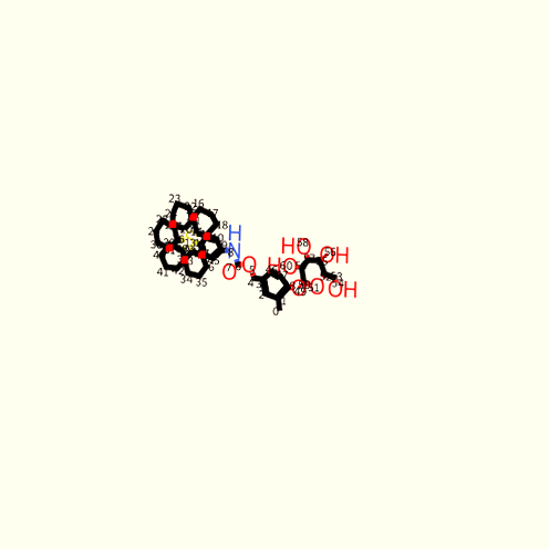 Cc1cc(COC(=O)Nc2ccc(S(C3CCCCC3)(C3CCCCC3)(C3CCCCC3)(C3CCCCC3)C3CCCCC3)cc2)ccc1O[C@@H]1OC(CO)[C@H](O)C(O)[C@@H]1O